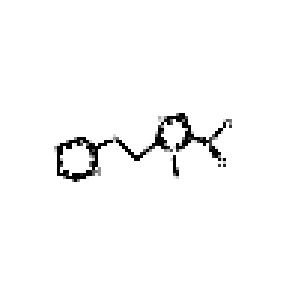 Cn1c([N+](=O)[O-])cnc1CSc1ccccn1